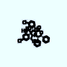 CC(C)(C)C[C@@H]1N2[C@H](C(=O)O[C@H](c3ccccc3)[C@@H]2c2ccccc2)[C@@H](c2cccc(Cl)c2F)[C@]12C(=O)Nc1cc(Cl)ccc12